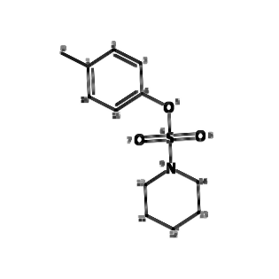 Cc1ccc(OS(=O)(=O)N2CC[CH]CC2)cc1